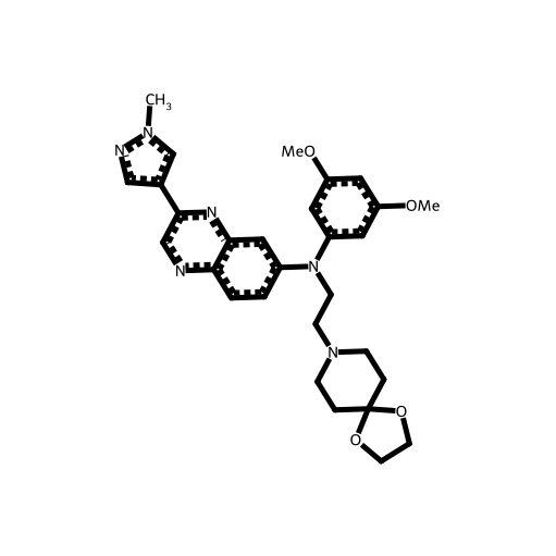 COc1cc(OC)cc(N(CCN2CCC3(CC2)OCCO3)c2ccc3ncc(-c4cnn(C)c4)nc3c2)c1